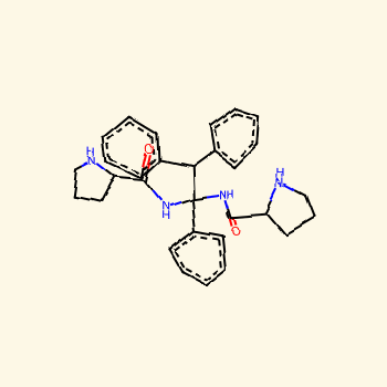 O=C(NC(NC(=O)C1CCCN1)(c1ccccc1)C(c1ccccc1)c1ccccc1)C1CCCN1